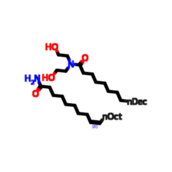 CCCCCCCC/C=C\CCCCCCCC(N)=O.CCCCCCCCCCCCCCCCCC(=O)N(CCO)CCO